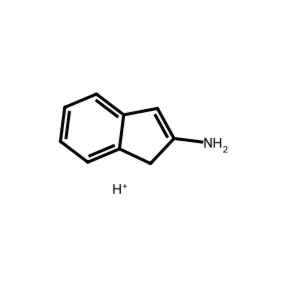 NC1=Cc2ccccc2C1.[H+]